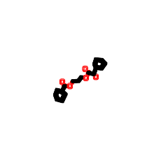 O=C(OCCCOC(=O)c1ccccc1)C(=O)c1ccccc1